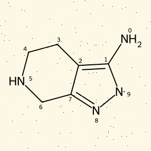 NC1=C2CCNCC2=N[N]1